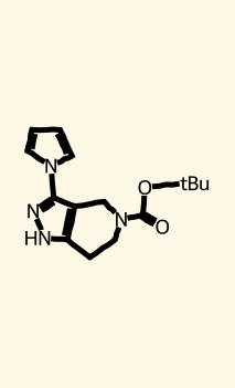 CC(C)(C)OC(=O)N1CCc2[nH]nc(-n3cccc3)c2C1